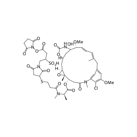 COc1cc2cc(c1Cl)N(C)C(=O)C[C@H](OC(=O)[C@@H](C)N(C)C(=O)CCSC1CC(=O)N(CC(CC(=O)ON3C(=O)CCC3=O)S(=O)(=O)O)C1=O)[C@]1(C)O[C@H]1[C@H](C)[C@@H]1C[C@@](O)(NC(=O)O1)[C@H](OC)/C=C/C=C(\C)C2